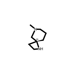 CN1CCC[C@@]2(CCN2)C1